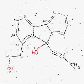 CC#CC1(O)c2ccccc2-c2cccc(CCO)c21